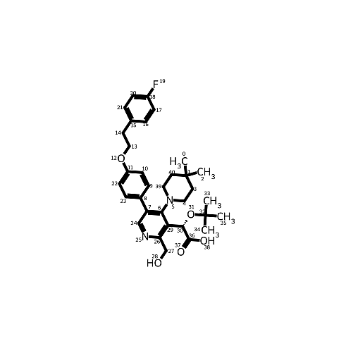 CC1(C)CCN(c2c(-c3ccc(OCCc4ccc(F)cc4)cc3)cnc(CO)c2[C@H](OC(C)(C)C)C(=O)O)CC1